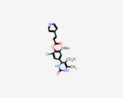 COc1cc(C2NC(=O)NC(C)=C2C(=O)O)cc(Cl)c1OC(=O)C=Cc1ccncc1